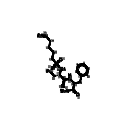 CNC(=O)[C@H](Cc1ccccc1)NC(=O)[C@H](CC(C)C)NS(=O)(=O)CCCCNC(C)=O